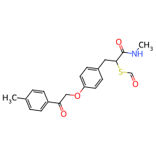 CNC(=O)C(Cc1ccc(OCC(=O)c2ccc(C)cc2)cc1)SC=O